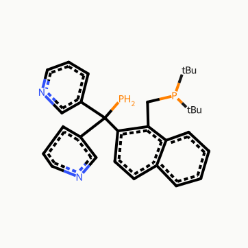 CC(C)(C)P(Cc1c(C(P)(c2cccnc2)c2cccnc2)ccc2ccccc12)C(C)(C)C